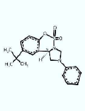 CC(C)(C)c1ccc2c(c1)[C@@H]1CN(c3ccccc3)CN1S(=O)(=O)O2